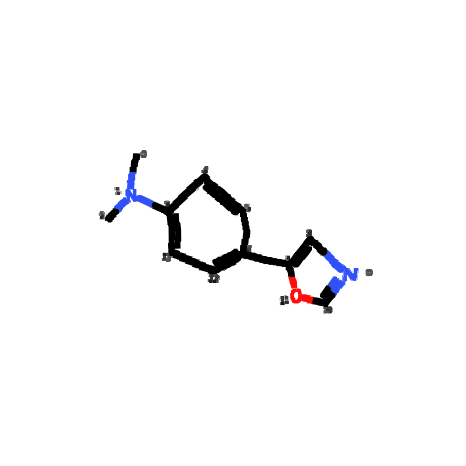 CN(C)c1ccc(-c2cnco2)cc1